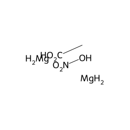 CC(=O)O.O=[N+]([O-])O.[MgH2].[MgH2]